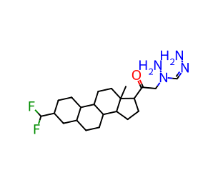 CC12CCC3C4CCC(C(F)F)CC4CCC3C1CCC2C(=O)CN(N)/C=N\N